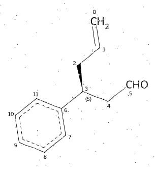 C=CC[C@@H](CC=O)c1ccccc1